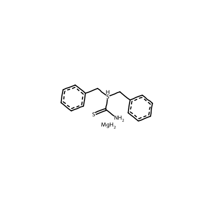 NC(=S)[SH](Cc1ccccc1)Cc1ccccc1.[MgH2]